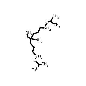 CC(C)O[SiH2]CCCC(N)(CN)CCC[SiH2]OC(C)C